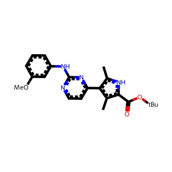 COc1cccc(Nc2nccc(-c3c(C)[nH]c(C(=O)OC(C)(C)C)c3C)n2)c1